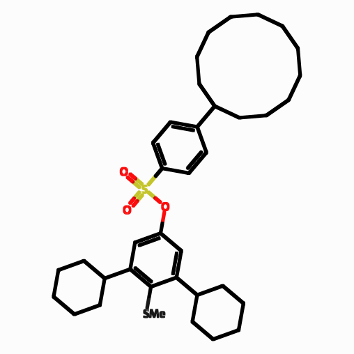 CSc1c(C2CCCCC2)cc(OS(=O)(=O)c2ccc(C3CCCCCCCCCCC3)cc2)cc1C1CCCCC1